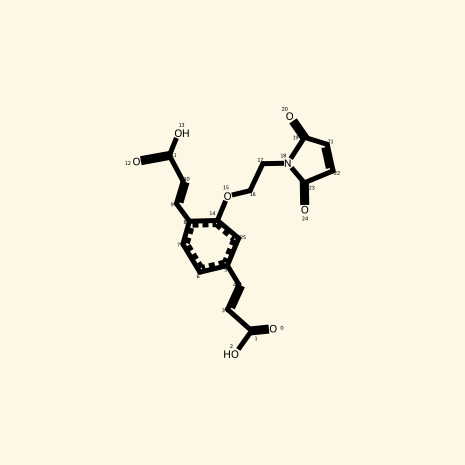 O=C(O)/C=C/c1ccc(/C=C/C(=O)O)c(OCCN2C(=O)C=CC2=O)c1